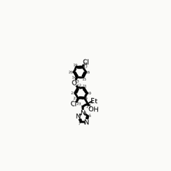 CC[C@@](O)(Cn1cncn1)c1ccc(Oc2ccc(Cl)cc2)cc1Cl